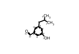 CC(C)Cc1cc(O)cc(C=O)c1